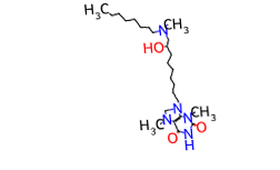 CCCCCCCCN(C)CC(O)CCCCCCCN1CN(C)c2c1n(C)c(=O)[nH]c2=O